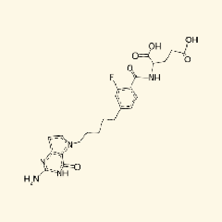 Nc1nc2ccn(CCCCCc3ccc(C(=O)NC(CCC(=O)O)C(=O)O)c(F)c3)c2c(=O)[nH]1